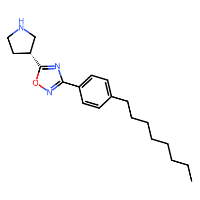 CCCCCCCCc1ccc(-c2noc([C@@H]3CCNC3)n2)cc1